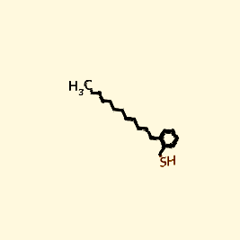 CCCCCCCCCCCCc1ccccc1CS